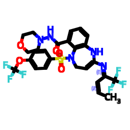 C/C=C\C(=N/C1=CCN(S(=O)(=O)c2ccc(OC(F)(F)F)cc2)c2c(cccc2C(=O)NN2CCOCC2)N1)C(F)(F)F